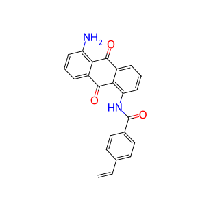 C=Cc1ccc(C(=O)Nc2cccc3c2C(=O)c2cccc(N)c2C3=O)cc1